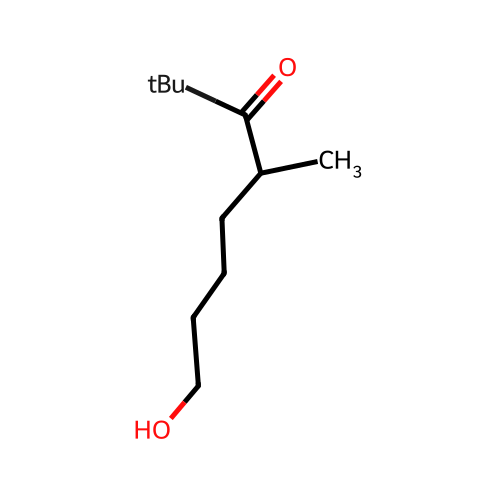 CC(CCCCO)C(=O)C(C)(C)C